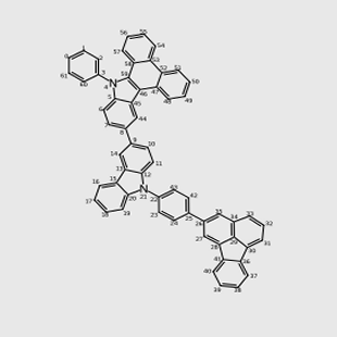 c1ccc(-n2c3ccc(-c4ccc5c(c4)c4ccccc4n5-c4ccc(-c5cc6c7c(cccc7c5)-c5ccccc5-6)cc4)cc3c3c4ccccc4c4ccccc4c32)cc1